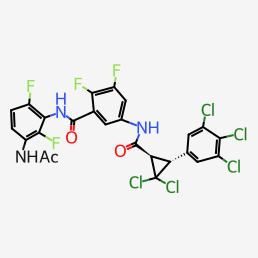 CC(=O)Nc1ccc(F)c(NC(=O)c2cc(NC(=O)[C@H]3[C@H](c4cc(Cl)c(Cl)c(Cl)c4)C3(Cl)Cl)cc(F)c2F)c1F